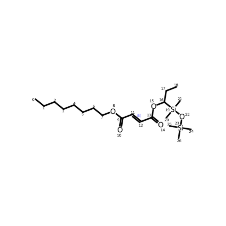 CCCCCCCCOC(=O)/C=C/C(=O)OC(CC)[Si](C)(C)O[Si](C)(C)C